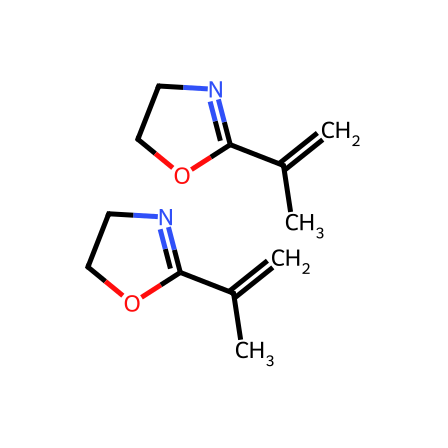 C=C(C)C1=NCCO1.C=C(C)C1=NCCO1